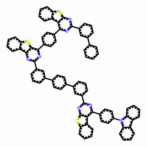 c1ccc(-c2cccc(-c3nc(-c4ccc(-c5nc(-c6cccc(-c7ccc(-c8cccc(-c9nc(-c%10ccc(-n%11c%12ccccc%12c%12ccccc%12%11)cc%10)c%10c(n9)sc9ccccc9%10)c8)cc7)c6)nc6c5sc5ccccc56)cc4)c4c(n3)sc3ccccc34)c2)cc1